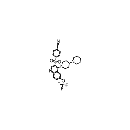 N#Cc1ccc(S(=O)(=O)c2cnc3ccc(OC(F)(F)F)cc3c2N2CCC(N3CCCCC3)CC2)cc1